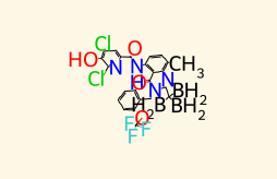 BC(B)(B)c1nc2c(C)ccc(NC(=O)c3cc(Cl)c(O)c(Cl)n3)c2c(=O)n1Cc1ccccc1OC(F)(F)F